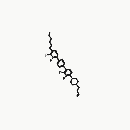 C=CCCC1CCC(c2ccc(-c3ccc(-c4ccc(CCCCCC)c(F)c4F)cc3)c(F)c2F)CC1